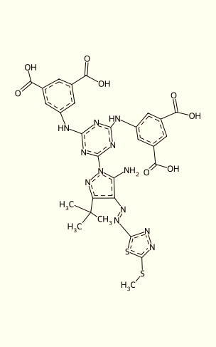 CSc1nnc(N=Nc2c(C(C)(C)C)nn(-c3nc(Nc4cc(C(=O)O)cc(C(=O)O)c4)nc(Nc4cc(C(=O)O)cc(C(=O)O)c4)n3)c2N)s1